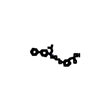 CC(C)C/C(=N\OCCOc1cccc(CC(=O)O)c1)c1ccc(-c2ccccc2)cc1